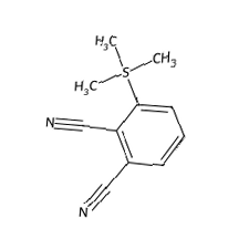 CS(C)(C)c1cccc(C#N)c1C#N